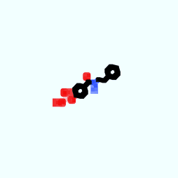 O=C(NCCc1ccccc1)c1ccc(OB(O)O)cc1